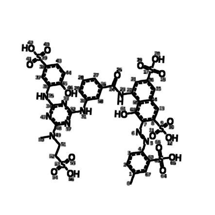 Cc1ccc(/N=N/c2c(S(=O)(=O)O)cc3cc(S(=O)(=O)O)cc(NC(=O)c4cccc(Nc5nc(Nc6cc(S(=O)(=O)O)ccc6O)nc(N(C)CCS(=O)(=O)O)n5)c4)c3c2O)c(S(=O)(=O)O)c1